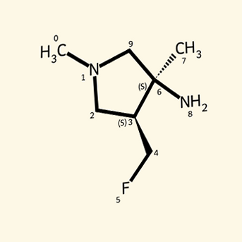 CN1C[C@H](CF)[C@](C)(N)C1